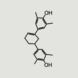 Cc1cc(C2=CCCC(c3cc(C)c(O)c(C)c3)C2)cc(C)c1O